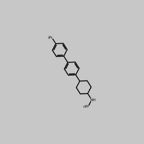 CCCNC1CCC(c2ccc(-c3ccc(C(C)C)cc3)cc2)CC1